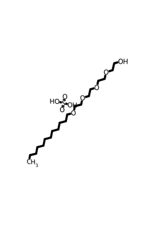 CCCCCCCCCCCCOCCOCCOCCOCCO.O=S(=O)(O)O